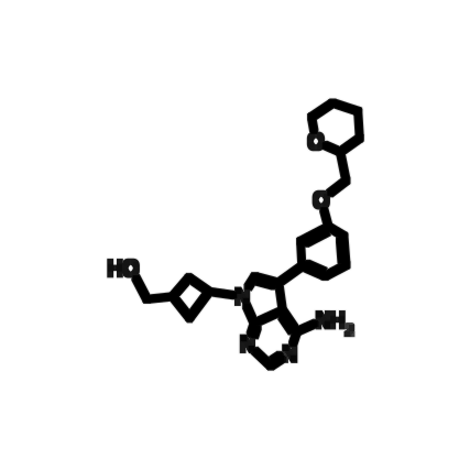 Nc1ncnc2c1c(-c1cccc(OCC3CCCCO3)c1)cn2C1CC(CO)C1